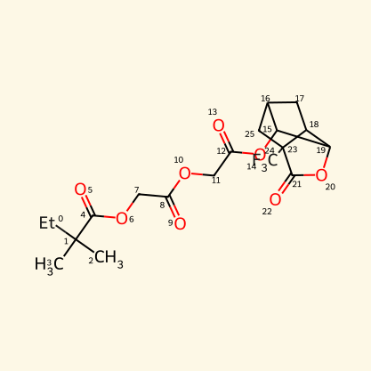 CCC(C)(C)C(=O)OCC(=O)OCC(=O)OC1C2CC3C1OC(=O)C3(C(F)(F)F)C2